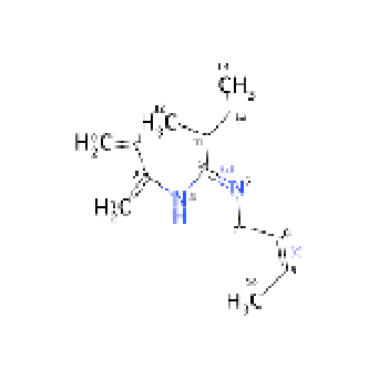 C=CC(=C)N/C(=N\C/C=C\C)C(C)CC